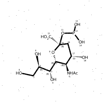 CC(=O)N[C@H]1[C@H]([C@H](O)[C@H](O)CO)O[C@](OP(O)O)(C(=O)O)C[C@@H]1O